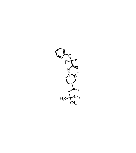 CC(C)(C)OC(=O)N1CC[C@H](NC(=O)C(F)(F)Oc2ccccc2)[C@@H](F)C1